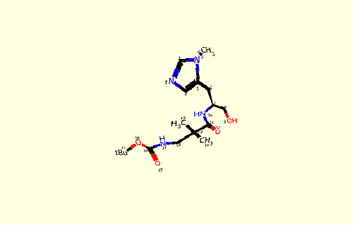 Cn1cncc1C[C@@H](CO)NC(=O)C(C)(C)CNC(=O)OC(C)(C)C